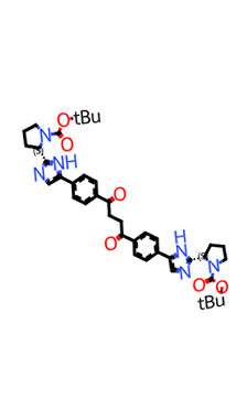 CC(C)(C)OC(=O)N1CCC[C@H]1c1ncc(-c2ccc(C(=O)CCC(=O)c3ccc(-c4cnc([C@@H]5CCCN5C(=O)OC(C)(C)C)[nH]4)cc3)cc2)[nH]1